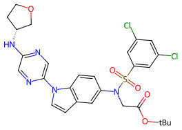 CC(C)(C)OC(=O)CN(c1ccc2c(ccn2-c2cnc(N[C@@H]3CCOC3)cn2)c1)S(=O)(=O)c1cc(Cl)cc(Cl)c1